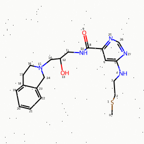 CSCCNc1cc(C(=O)NCC(O)CN2CCc3ccccc3C2)ncn1